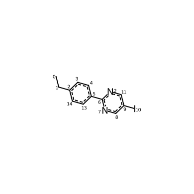 CCc1ccc(-c2ncc(I)cn2)cc1